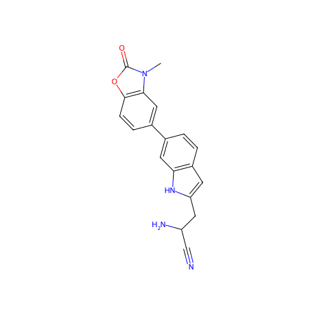 Cn1c(=O)oc2ccc(-c3ccc4cc(CC(N)C#N)[nH]c4c3)cc21